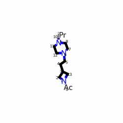 CC(=O)N1CC(CCN2CCN(C(C)C)CC2)C1